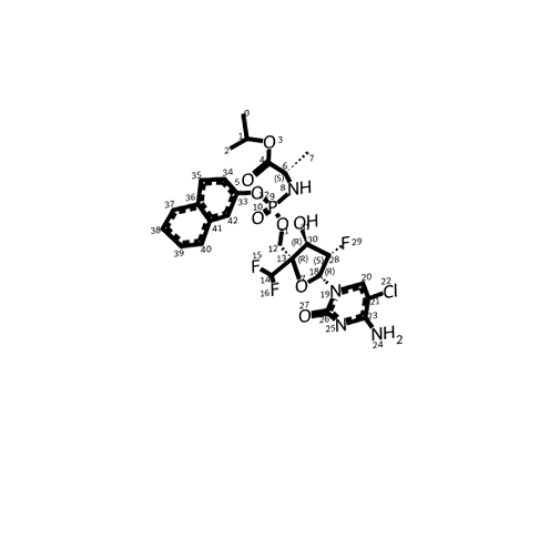 CC(C)OC(=O)[C@H](C)NP(=O)(OC[C@@]1(C(F)F)O[C@@H](n2cc(Cl)c(N)nc2=O)[C@@H](F)[C@@H]1O)Oc1ccc2ccccc2c1